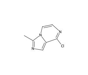 Cc1ncc2c(Cl)nccn12